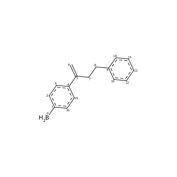 Bc1ccc(C(=C)CCc2ccccc2)cc1